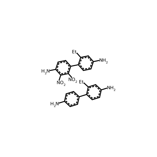 CCc1cc(N)ccc1-c1ccc(N)c([N+](=O)[O-])c1[N+](=O)[O-].CCc1cc(N)ccc1-c1ccc(N)cc1